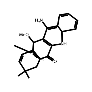 COC1C2=C(NC3C=CC=CC3=C2N)C(=O)C23CC(C)(C)C=CC12C(C)C=CO3